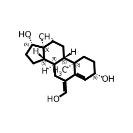 C[C@]12CC[C@H]3[C@@H](CC(=CO)C4=C[C@@H](O)CC[C@@]43C)[C@@H]1CC[C@@H]2O